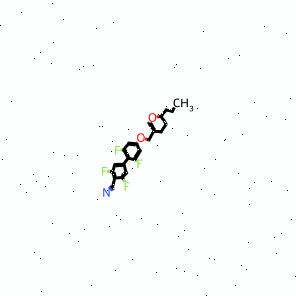 CCCC1CCC(COc2cc(F)c(-c3cc(F)c(C#N)c(F)c3)c(F)c2)=CO1